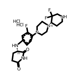 Cl.Cl.O=C1CC[C@H](Nc2ccc(N3CCN([C@H]4CCNCC4(F)F)CC3)c(F)c2)C(=O)N1